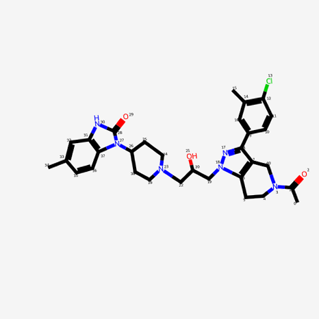 CC(=O)N1CCc2c(c(-c3ccc(Cl)c(C)c3)nn2CC(O)CN2CCC(n3c(=O)[nH]c4cc(C)ccc43)CC2)C1